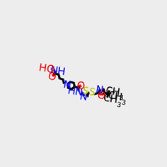 CC(C)(C)c1cnc(CSc2cnc(NC(=O)C3CCN(CCCCC(=O)NO)CC3)s2)o1